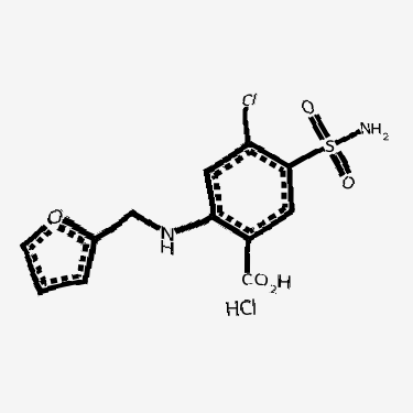 Cl.NS(=O)(=O)c1cc(C(=O)O)c(NCc2ccco2)cc1Cl